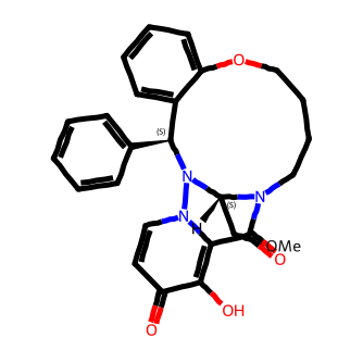 COC[C@H]1N2CCCCOc3ccccc3[C@H](c3ccccc3)N1n1ccc(=O)c(O)c1C2=O